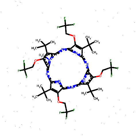 Cn1c2nc3nc(nc4[nH]c(nc5nc(nc1c(C(C)(C)C)c2OCC(F)(F)F)C(OCC(F)(F)F)=C5C(C)(C)C)c(OCC(F)(F)F)c4C(C)(C)C)C(OCC(F)(F)F)=C3C(C)(C)C